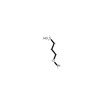 CC(C)OCCCS(=O)(=O)O